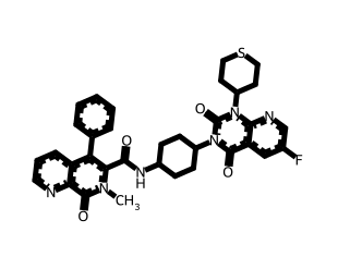 Cn1c(C(=O)NC2CCC(n3c(=O)c4cc(F)cnc4n(C4CCSCC4)c3=O)CC2)c(-c2ccccc2)c2cccnc2c1=O